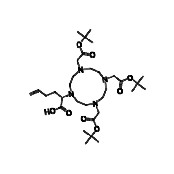 C=CCCC(C(=O)O)N1CCN(CC(=O)OC(C)(C)C)CCN(CC(=O)OC(C)(C)C)CCN(CC(=O)OC(C)(C)C)CC1